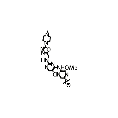 COc1nc(P(C)(C)=O)cnc1Nc1nc(NCc2nnc(N3CCN(C)CC3)o2)ncc1Cl